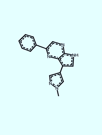 Cn1cc(-c2c[nH]c3ncc(-c4ccccc4)nc23)cn1